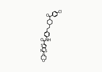 O=C(Nc1ccc(CCC2CCC(C(=O)c3ccc(Cl)cc3)CC2)cc1)c1cc2sc(N3CCOCC3)nc2s1